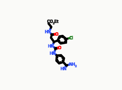 CCOC(=O)CCNC(=O)CC(NC(=O)Nc1ccc(C(=N)N)cc1)c1ccc(Cl)cc1